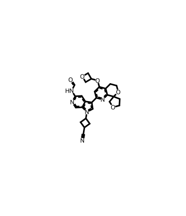 N#CC1CC(n2cc(-c3cc(OC4COC4)c4c(n3)C3(CCOC3)OCC4)c3cc(NC=O)ncc32)C1